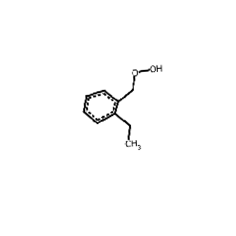 CCc1ccccc1COO